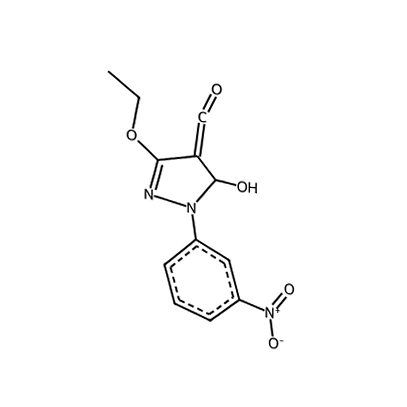 CCOC1=NN(c2cccc([N+](=O)[O-])c2)C(O)C1=C=O